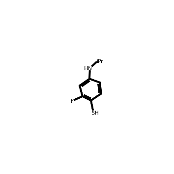 CC(C)Nc1ccc(S)c(F)c1